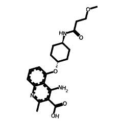 COCCC(=O)N[C@H]1CC[C@H](Oc2cccc3nc(C)c(C(=O)O)c(N)c23)CC1